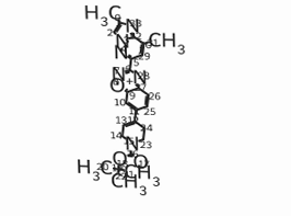 Cc1cn2nc(-c3n[o+]c4cc(C5=CCN(C(=O)OC(C)(C)C)CC5)ccc4n3)cc(C)c2n1